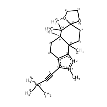 Cn1nc2c(c1C#C[Si](C)(C)C)CC[C@@H]1C2(C)CCC2(OCCO2)C1(C)C